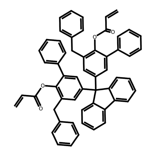 C=CC(=O)Oc1c(Cc2ccccc2)cc(C2(c3cc(Cc4ccccc4)c(OC(=O)C=C)c(-c4ccccc4)c3)c3ccccc3-c3ccccc32)cc1-c1ccccc1